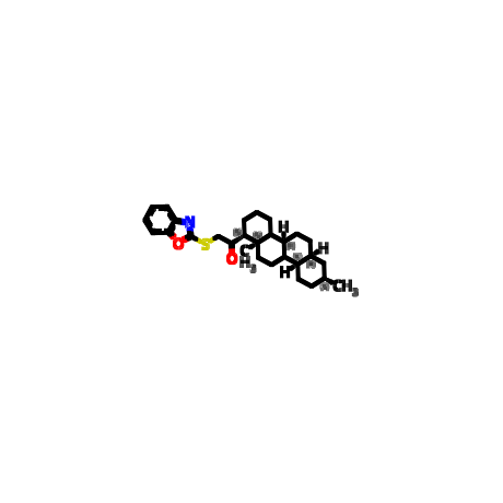 C[C@H]1CC[C@@H]2C3CC[C@@]4(C)C(CCC[C@@H]4C(=O)CSc4nc5ccccc5o4)[C@@H]3CC[C@@H]2C1